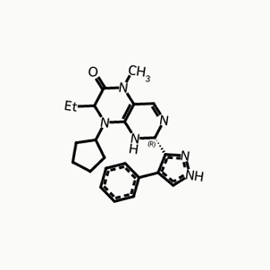 CCC1C(=O)N(C)C2=C(N[C@@H](c3n[nH]cc3-c3ccccc3)N=C2)N1C1CCCC1